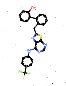 Oc1ccccc1-c1ccccc1Cc1nc2c(Nc3ccc(C(F)(F)F)cc3)ncnc2s1